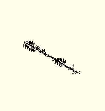 CC(=O)CCC(=O)NCCOCCOCCNC(=O)[C@@H](O)[C@@H](O)[C@H](O)[C@@H](O)C(=O)NCCOCCOCCOCCOCCC(=O)NC[C@H](O)[C@@H](O)[C@H](O)[C@H](O)CNC(=O)[C@H](O)[C@@H](O)[C@H](O)[C@H](O)CO